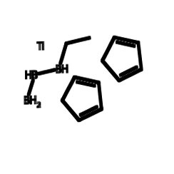 BBBCC.C1=CCC=C1.C1=CCC=C1.[Ti]